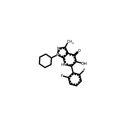 Cc1nn(C2CCCCC2)c2[nH]c(-c3c(F)cccc3F)c(O)c(=O)c12